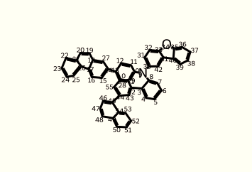 c1cc(-c2ccccc2N(c2ccc(-c3ccc4c(ccc5ccccc54)c3)cc2)c2ccc3oc4ccccc4c3c2)cc(-c2cccc3ccccc23)c1